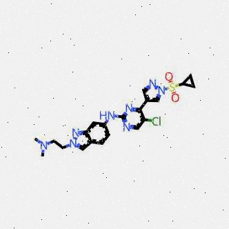 CN(C)CCn1cc2ccc(Nc3ncc(Cl)c(-c4cnn(S(=O)(=O)C5CC5)c4)n3)cc2n1